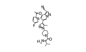 Cc1c(-c2cc(O[C@H](C)c3ccc(F)cn3)c3c(C#N)cnn3c2)cnn1C1CCN(C(=O)[C@@H](N)C(C)C)CC1